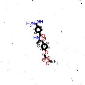 CC(=O)OCC(NC(=O)c1ccc(C(=N)N)cc1)C(=O)c1ccc(OCC(=O)OC(=O)C(F)(F)F)cc1